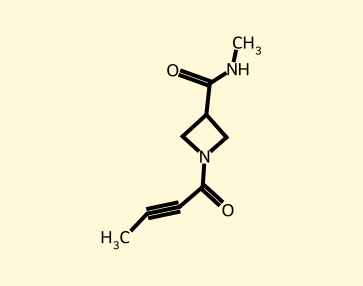 CC#CC(=O)N1CC(C(=O)NC)C1